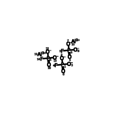 O=P([O-])([O-])F.O=P([O-])([O-])F.O=P([O-])([O-])F.[Al+3].[Al+3]